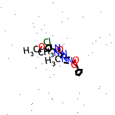 Cc1c(-c2nc(C3=CC(Cl)C(OC(C)C)C=C3)no2)nc2n1CCN(C(=O)OCc1ccccc1)C2